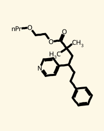 CCCOCCOC(=O)C(C)(C)CC(CCc1ccccc1)c1ccncc1